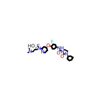 CN(C)CCCN(C(=O)O)c1cc(Oc2ccc(NC(=O)N3CCN(c4ccccc4)C3=O)cc2F)ccn1